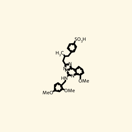 COc1ccc(CNc2nc3c(OC)cccc3c3nc(CC(C)Cc4ccc(S(=O)(=O)O)cc4)nn23)c(OC)c1